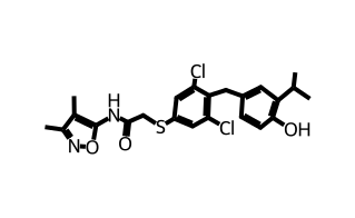 Cc1noc(NC(=O)CSc2cc(Cl)c(Cc3ccc(O)c(C(C)C)c3)c(Cl)c2)c1C